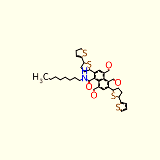 CCCCCCCCNC(=O)c1c(C2CCC(C3=CCCS3)S2)cc(C=O)c2c(C=O)c(C3CCC(c4cccs4)S3)cc(C=O)c12